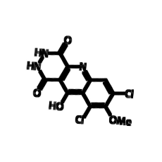 COc1c(Cl)cc2nc3c(=O)[nH][nH]c(=O)c3c(O)c2c1Cl